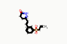 C=CCS(=O)(=O)c1cccc(C=CC2=NNC(=O)CC2)c1